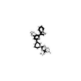 COc1cc(-c2cnn3ccccc23)nc(C2CCCN(C(=O)OC(C)(C)C)C2)c1